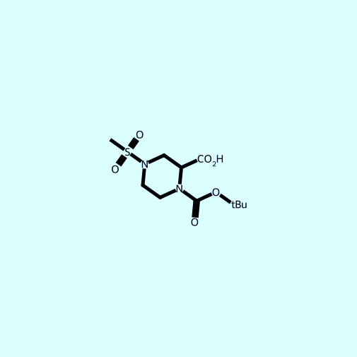 CC(C)(C)OC(=O)N1CCN(S(C)(=O)=O)CC1C(=O)O